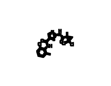 Cc1cccc(Cl)c1NC(=O)c1cnc(NC(=O)C2(C)CC2(Cl)Cl)s1